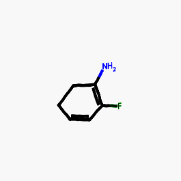 NC1=C(F)C=CCC1